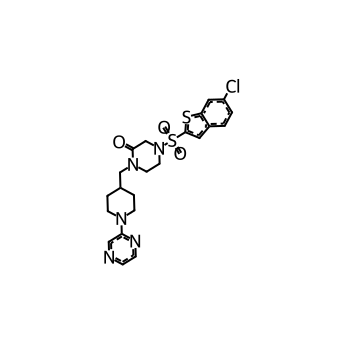 O=C1CN(S(=O)(=O)c2cc3ccc(Cl)cc3s2)CCN1CC1CCN(c2cnccn2)CC1